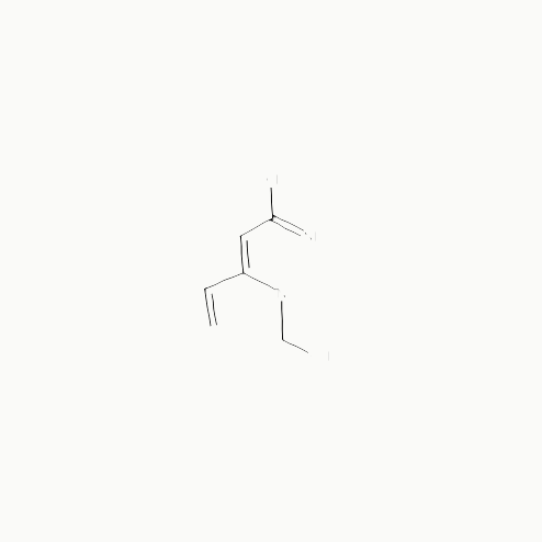 CCN/C(C=O)=C\C(C)=N